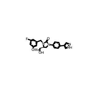 COc1cc(F)cc(CN2C(=O)N(c3ccc(-c4cn[nH]c4)cc3)C[C@H]2CO)c1